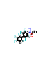 CC(C)C(=O)Nc1c(F)c(F)c(-c2c(F)c(F)c(F)c(F)c2F)c(F)c1F